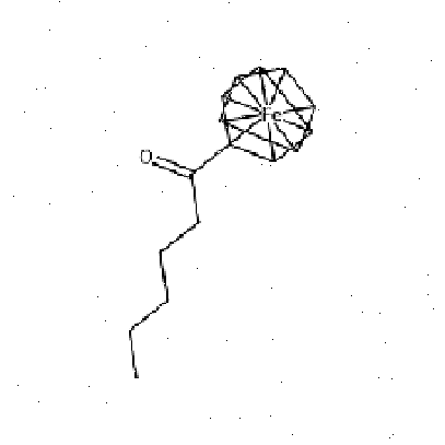 CCCCCC(=O)[C]12[CH]3[CH]4[CH]5[CH]1[Fe]45321678[CH]2[CH]1[CH]6[CH]7[CH]28